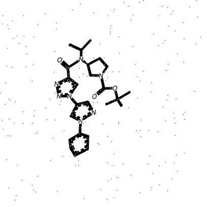 CC(C)N(C(=O)c1cn(-c2cnn(-c3ccccc3)c2)nn1)[C@H]1CCN(C(=O)OC(C)(C)C)C1